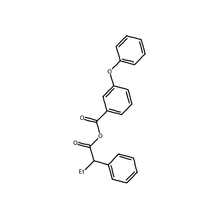 CCC(C(=O)OC(=O)c1cccc(Oc2ccccc2)c1)c1ccccc1